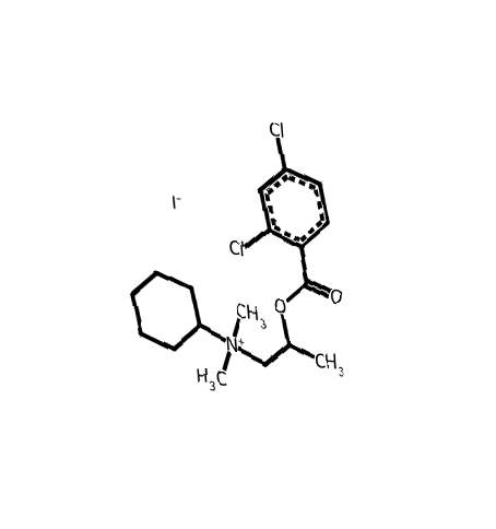 CC(C[N+](C)(C)C1CCCCC1)OC(=O)c1ccc(Cl)cc1Cl.[I-]